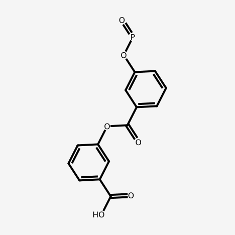 O=POc1cccc(C(=O)Oc2cccc(C(=O)O)c2)c1